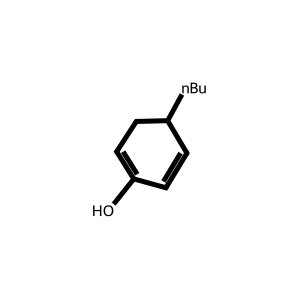 CCCCC1C=CC(O)=CC1